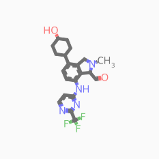 CN1Cc2c(C3CCC(O)CC3)ccc(Nc3ccnc(C(F)(F)F)n3)c2C1C=O